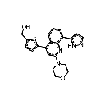 OCc1ccc(-c2cc(N3CCOCC3)nc3c(-c4ccn[nH]4)cccc23)s1